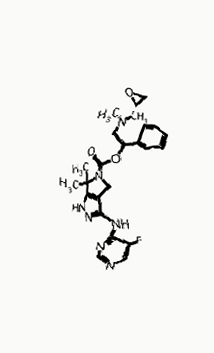 C1CO1.CN(C)CC(OC(=O)N1Cc2c(Nc3ncncc3F)n[nH]c2C1(C)C)c1ccccc1